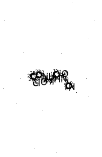 O=C(NCc1cccnc1)c1cccc([C@@H]2C[C@H]2C(=O)Nc2ccc3cccc(Cl)c3c2)c1